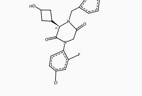 O=C1[C@@H](C2CC(O)C2)N(Cc2ccc(F)cc2)C(=O)CN1c1ccc(Cl)cc1F